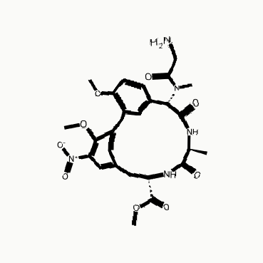 COC(=O)[C@@H]1Cc2cc(c(OC)c([N+](=O)[O-])c2)-c2cc(ccc2OC)[C@H](N(C)C(=O)CN)C(=O)N[C@@H](C)C(=O)N1